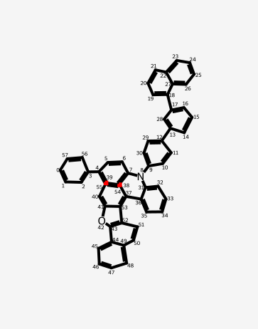 c1ccc(-c2ccc(N(c3ccc(-c4cccc(-c5cccc6ccccc56)c4)cc3)c3ccccc3-c3cccc4oc5c6ccccc6ccc5c34)cc2)cc1